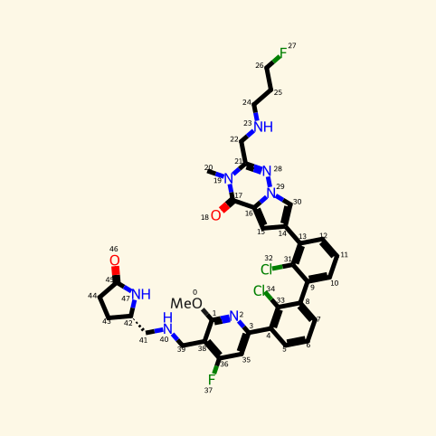 COc1nc(-c2cccc(-c3cccc(-c4cc5c(=O)n(C)c(CNCCCF)nn5c4)c3Cl)c2Cl)cc(F)c1CNC[C@@H]1CCC(=O)N1